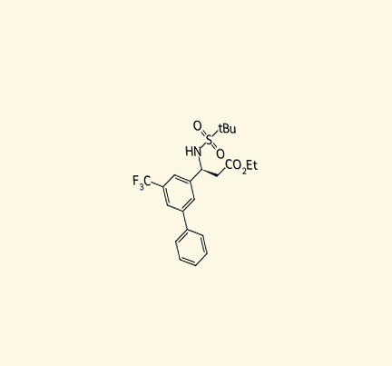 CCOC(=O)C[C@H](NS(=O)(=O)C(C)(C)C)c1cc(-c2ccccc2)cc(C(F)(F)F)c1